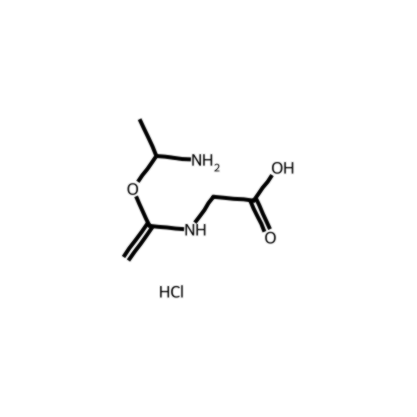 C=C(NCC(=O)O)OC(C)N.Cl